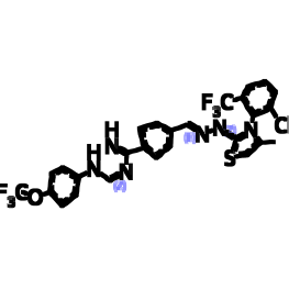 Cc1cs/c(=N\N=C\c2ccc(C(=N)/N=C\Nc3ccc(OC(F)(F)F)cc3)cc2)n1-c1c(Cl)cccc1C(F)(F)F